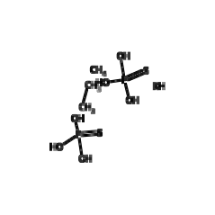 C.CC.OP(O)(O)=S.OP(O)(O)=S.[KH]